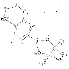 CC1(C)OB(c2ccc3c(c2)CCCN3)OC1(C)C